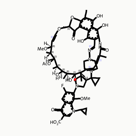 COc1c(N2CCC(C3(N4CCN(/N=C/c5c6c(O)c7c(O)c(C)c8c(c7c5O)C(=O)[C@@](C)(O/C=C/[C@H](OC)[C@@H](C)[C@@H](OC(C)=O)[C@H](C)[C@H](O)[C@H](C)[C@@H](O)[C@@H](C)/C=C/C=C(/C)C(=O)N6)O8)CC4)CC3)C2)c(F)cc2c(=O)c(C(=O)O)cn(C3CC3)c12